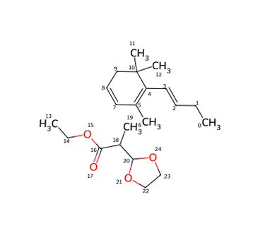 CCC=CC1=C(C)C=CCC1(C)C.CCOC(=O)C(C)C1OCCO1